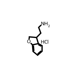 Cl.NCCC1COc2ccccc21